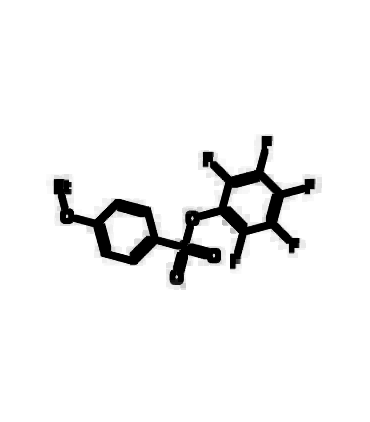 CCOc1ccc(S(=O)(=O)Oc2c(F)c(F)c(F)c(F)c2F)cc1